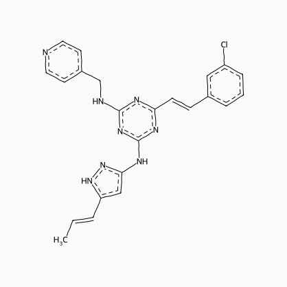 C/C=C/c1cc(Nc2nc(/C=C/c3cccc(Cl)c3)nc(NCc3ccncc3)n2)n[nH]1